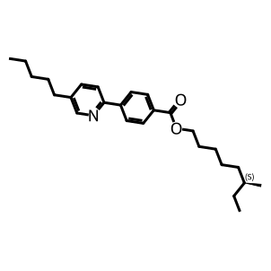 CCCCCc1ccc(-c2ccc(C(=O)OCCCCC[C@@H](C)CC)cc2)nc1